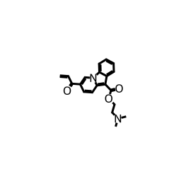 C=CC(=O)c1ccc2c(C(=O)OCCN(C)C)c3ccccc3n2c1